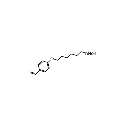 C=Cc1ccc(OCCCCCCCCCCCCCCC)cc1